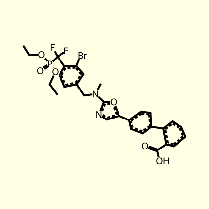 CCOP(=O)(OCC)C(F)(F)c1ccc(CN(C)c2ncc(-c3ccc(-c4ccccc4C(=O)O)cc3)o2)cc1Br